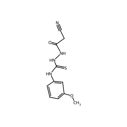 COc1cccc(NC(=S)NNC(=O)CC#N)c1